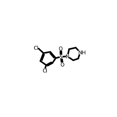 O=S(=O)(c1cc(Cl)cc(Cl)c1)N1CCNCC1